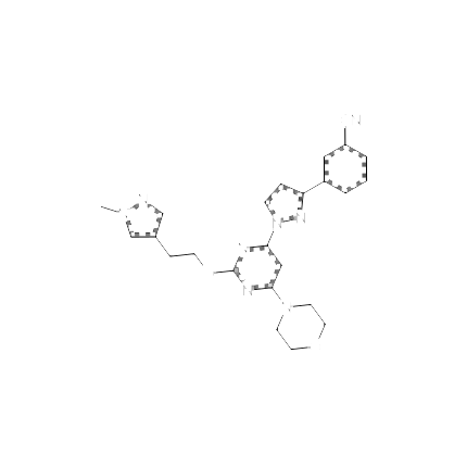 Cn1cc(CCOc2nc(N3CCOCC3)cc(-n3ccc(-c4cccc(C#N)c4)n3)n2)cn1